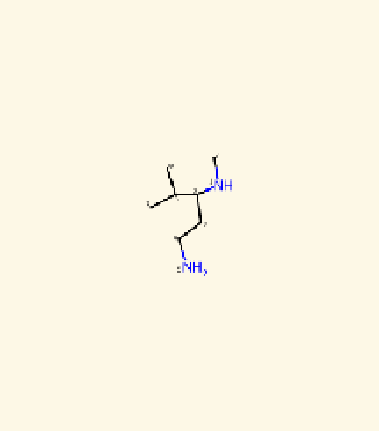 CNC(CCN)C(C)C